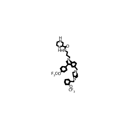 O=C(NCCCn1cc(-c2ccc(OC(F)(F)F)cc2)c2cc(CN3CC4CC3CN4Cc3ccccc3OC(F)(F)F)ccc21)C1CNCCN1